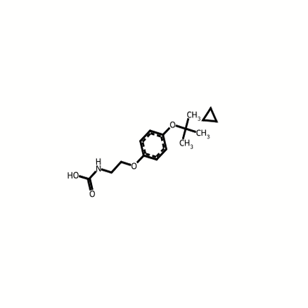 C1CC1.CC(C)(C)Oc1ccc(OCCNC(=O)O)cc1